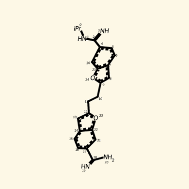 CC(C)NC(=N)c1ccc2cc(CCc3cc4ccc(C(=N)N)cc4o3)oc2c1